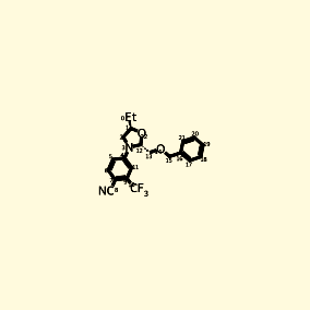 CC[C@@H]1CN(c2ccc(C#N)c(C(F)(F)F)c2)[C@@H](COCc2ccccc2)O1